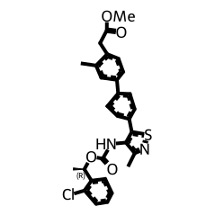 COC(=O)Cc1ccc(-c2ccc(-c3snc(C)c3NC(=O)O[C@H](C)c3ccccc3Cl)cc2)cc1C